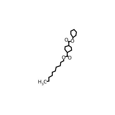 CCCCCCCCCCOC(=O)C1CCC(C(=O)OC2CCCCC2)CC1